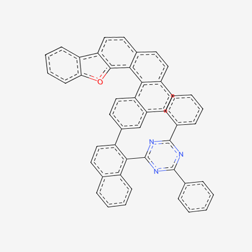 c1ccc(-c2nc(-c3ccccc3)nc(-c3c(-c4ccc5c(ccc6ccc7ccc8c9ccccc9oc8c7c65)c4)ccc4ccccc34)n2)cc1